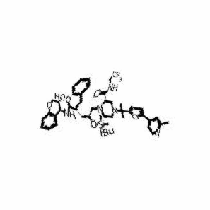 Cc1cc(-c2ccc(C(C)(C)N3CCN(C[C@H](C[C@@H](Cc4ccccc4)C(=O)N[C@H]4c5ccccc5OC[C@H]4O)O[Si](C)(C)C(C)(C)C)[C@H](C(=O)NCC(F)(F)F)C3)o2)ccn1